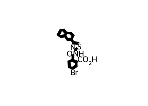 O=C(O)c1cc(Br)ccc1C(=O)Nc1nc(-c2ccc3ccccc3c2)cs1